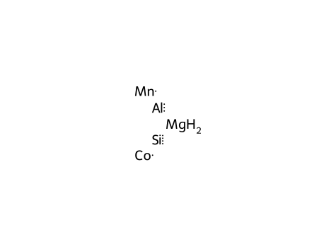 [Al].[Co].[MgH2].[Mn].[Si]